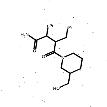 CCCC(C(N)=O)C(CC(C)C)C(=O)N1CCCC(CO)C1